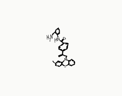 C=C(CN1c2ccccc2Sc2ccc(C)cc21)c1ccc(C(=O)Nc2ccccc2N)cc1